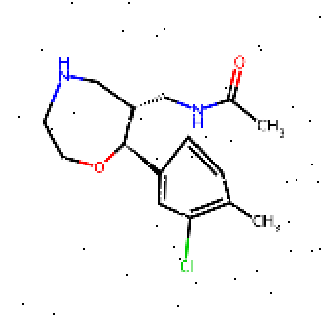 CC(=O)NC[C@H]1CNCCO[C@@H]1c1ccc(C)c(Cl)c1